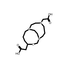 O=C(O)CC1CCCN2CCN(CCCN(CC(=O)O)CC2)CC1